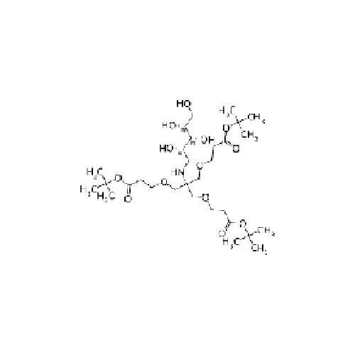 CC(C)(C)OC(=O)CCOCC(COCCC(=O)OC(C)(C)C)(COCCC(=O)OC(C)(C)C)NC[C@H](O)[C@@H](O)[C@H](O)CO